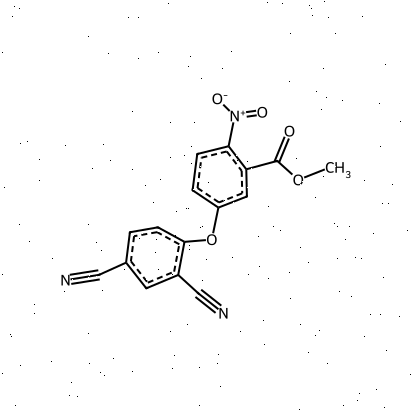 COC(=O)c1cc(Oc2ccc(C#N)cc2C#N)ccc1[N+](=O)[O-]